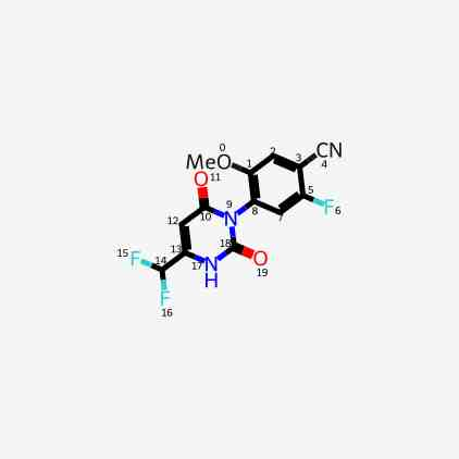 COc1cc(C#N)c(F)cc1-n1c(=O)cc(C(F)F)[nH]c1=O